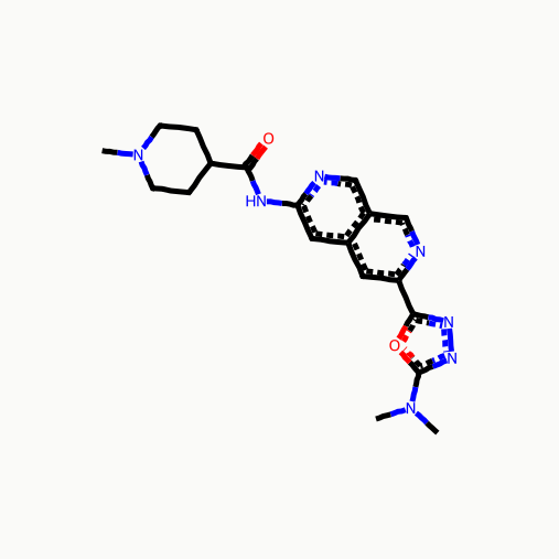 CN1CCC(C(=O)Nc2cc3cc(-c4nnc(N(C)C)o4)ncc3cn2)CC1